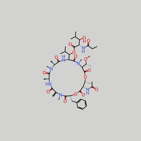 C=C1C(=O)N[C@@H](C)C(=O)N(C)[C@@H](C)C(=O)N[C@@H]([C@H](OC(=O)[C@@H](NC(=O)CC)[C@H](O)C(C)C)C(C)C)C(=O)N(C)[C@@H]([C@@H](C)OC)C(=O)O[C@H](C)[C@H](NC(C)=O)C(=O)O[C@H](Cc2ccccc2)C(=O)N1C